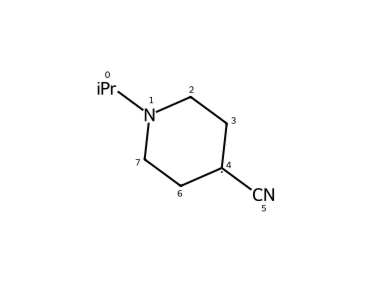 CC(C)N1CC[C](C#N)CC1